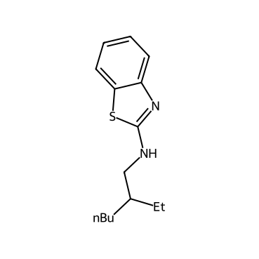 CCCCC(CC)CNc1nc2ccccc2s1